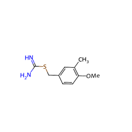 COc1ccc(CSC(=N)N)cc1C